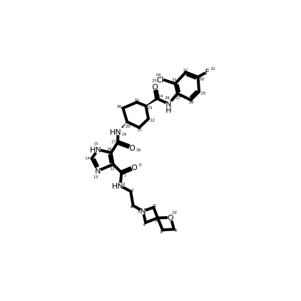 O=C(NCCN1CC2(CCO2)C1)c1nc[nH]c1C(=O)N[C@H]1CC[C@H](C(=O)Nc2ccc(F)cc2Cl)CC1